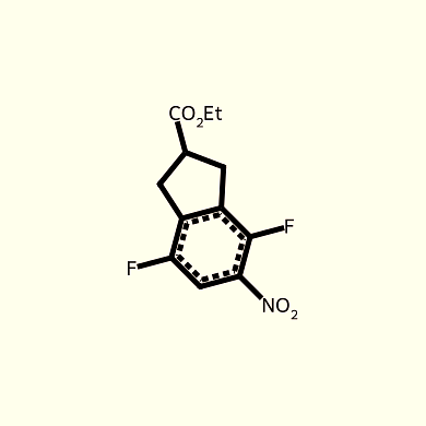 CCOC(=O)C1Cc2c(F)cc([N+](=O)[O-])c(F)c2C1